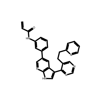 C=CC(=O)Nc1cccc(-c2cnc3[nH]cc(-c4ncncc4CCc4ccccn4)c3c2)c1